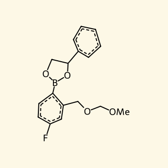 COCOCc1cc(F)ccc1B1OCC(c2ccccc2)O1